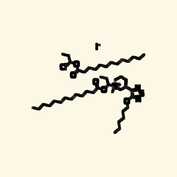 CCCCCCCCCCCCC(=O)OC(CC)[N+]1(C)CCC=C(c2nsnc2OCCCCCC)C1.CCCCCCCCCCCCC(=O)OC(Cl)CC.[I-]